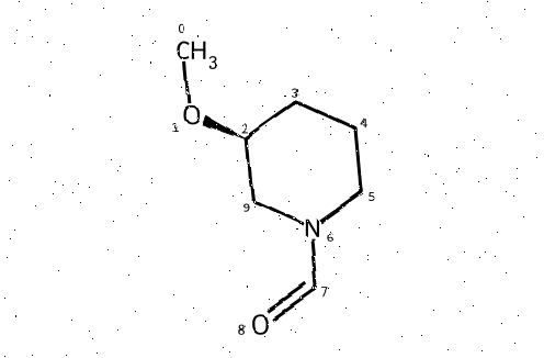 CO[C@H]1CCCN(C=O)C1